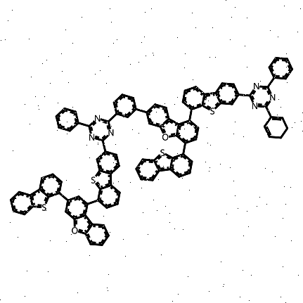 C1=CC(c2nc(-c3ccccc3)nc(-c3ccc4c(c3)sc3c(-c5ccc(-c6cccc7c6sc6ccccc67)c6oc7cc(-c8cccc(-c9nc(-c%10ccccc%10)nc(-c%10ccc%11c(c%10)sc%10c(-c%12cc(-c%13cccc%14c%13sc%13ccccc%13%14)cc%13oc%14ccccc%14c%12%13)cccc%10%11)n9)c8)ccc7c56)cccc34)n2)=CCC1